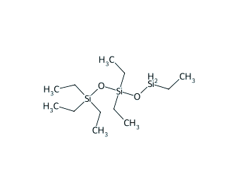 CC[SiH2]O[Si](CC)(CC)O[Si](CC)(CC)CC